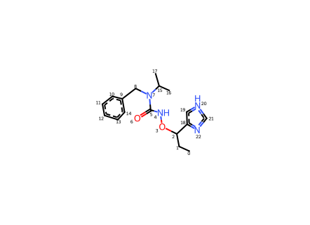 CCC(ONC(=O)N(Cc1ccccc1)C(C)C)c1c[nH]cn1